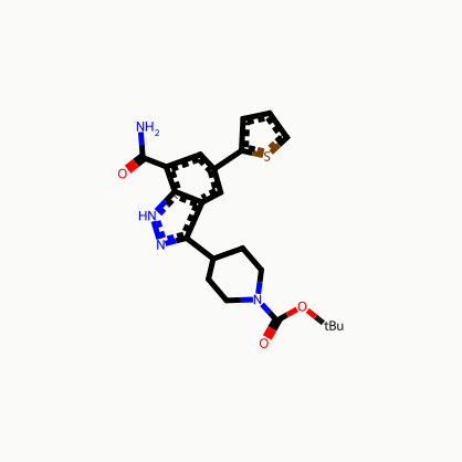 CC(C)(C)OC(=O)N1CCC(c2n[nH]c3c(C(N)=O)cc(-c4cccs4)cc23)CC1